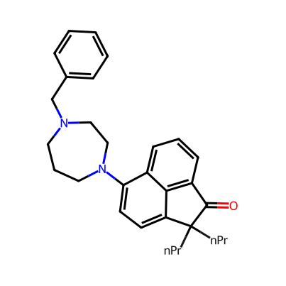 CCCC1(CCC)C(=O)c2cccc3c(N4CCCN(Cc5ccccc5)CC4)ccc1c23